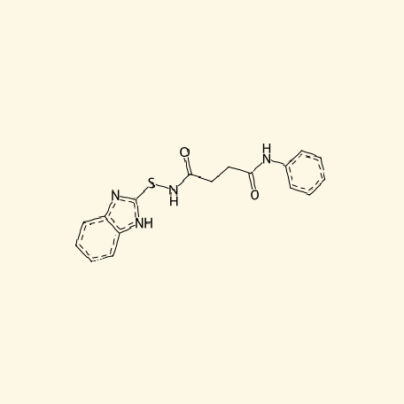 O=C(CCC(=O)Nc1ccccc1)NSc1nc2ccccc2[nH]1